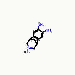 Nc1cc2c(cc1N)C1CC2CN(N=O)C1